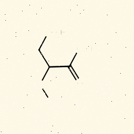 CCSC(CC(=O)O)C(=O)C(=O)O